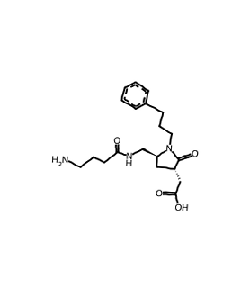 NCCCC(=O)NC[C@@H]1C[C@@H](CC(=O)O)C(=O)N1CCCc1ccccc1